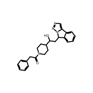 O=C(Cc1ccccc1)N1CCC(C(O)CC2c3ccccc3-c3cnnn32)CC1